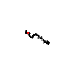 CC/C=C\C/C=C\C/C=C\C/C=C\C/C=C\C/C=C\CCC(=O)NCCOCCNC(=O)c1ccccc1